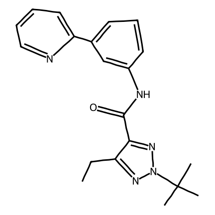 CCc1nn(C(C)(C)C)nc1C(=O)Nc1cccc(-c2ccccn2)c1